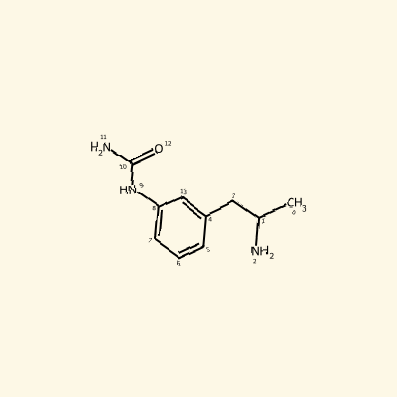 CC(N)Cc1cccc(NC(N)=O)c1